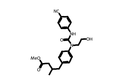 COC(=O)CC(C)Cc1ccc(N(CCO)C(=O)Nc2ccc(C#N)cc2)cc1